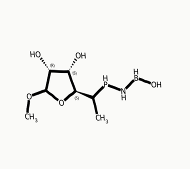 COC1O[C@H](C(C)PNBO)[C@@H](O)[C@H]1O